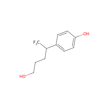 OCCCC(c1ccc(O)cc1)C(F)(F)F